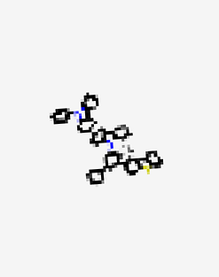 N#Cc1c(-c2ccc3sc4ccccc4c3c2)cc(-c2ccccc2)cc1-n1c2ccccc2c2cc([C@H]3CCc4c(c5ccccc5n4-c4ccccc4)C3)ccc21